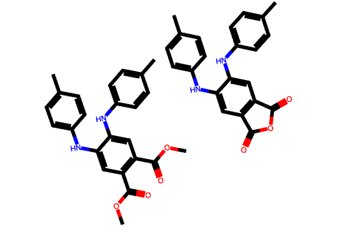 COC(=O)c1cc(Nc2ccc(C)cc2)c(Nc2ccc(C)cc2)cc1C(=O)OC.Cc1ccc(Nc2cc3c(cc2Nc2ccc(C)cc2)C(=O)OC3=O)cc1